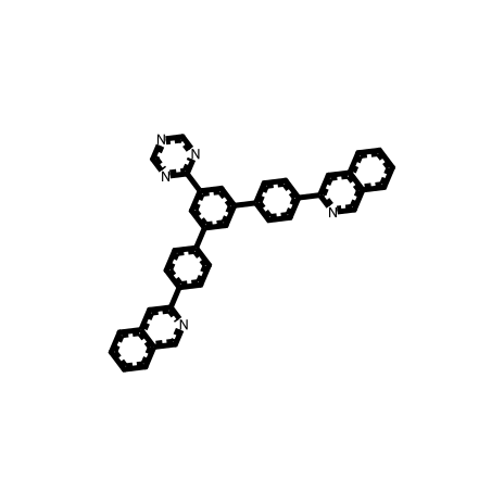 c1ccc2cc(-c3ccc(-c4cc(-c5ccc(-c6cc7ccccc7cn6)cc5)cc(-c5ncncn5)c4)cc3)ncc2c1